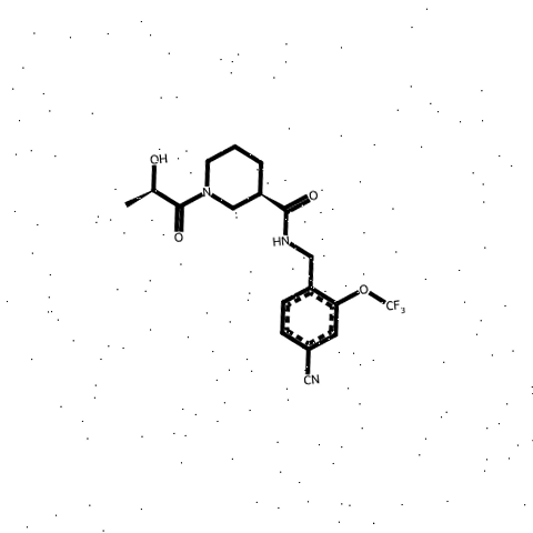 C[C@@H](O)C(=O)N1CCC[C@@H](C(=O)NCc2ccc(C#N)cc2OC(F)(F)F)C1